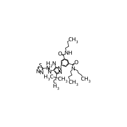 CCCCNC(=O)c1cc(C(=O)N(CCCC)CCCC)cc(-n2nc(C(C)(C)C)c(N=Nc3nncs3)c2N)c1